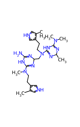 Cc1c[nH]cc1CCN(C)C1=NC(CN(CCc2c[nH]cc2C)C2=NC(C)N=C(N(C)C)N2)N=C(N)N1